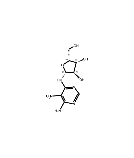 Nc1ncnc(N[C@@H]2O[C@H](CO)[C@H](O)[C@H]2O)c1[N+](=O)[O-]